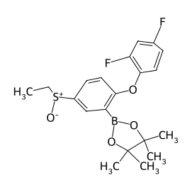 CC[S+]([O-])c1ccc(Oc2ccc(F)cc2F)c(B2OC(C)(C)C(C)(C)O2)c1